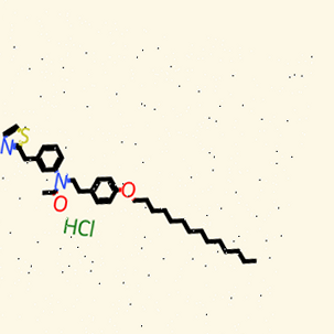 CCCCCCCCCCCCCCOc1ccc(CCN(C(C)=O)c2cccc(Cc3nccs3)c2)cc1.Cl